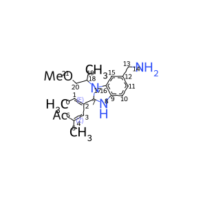 C/C=C(\C=C(\C)C(C)=O)C1Nc2ccc(CN)cc2N1C(C)COC